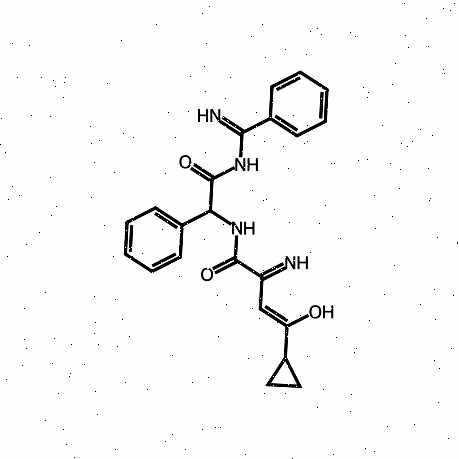 N=C(/C=C(\O)C1CC1)C(=O)NC(C(=O)NC(=N)c1ccccc1)c1ccccc1